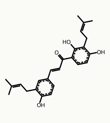 CC(C)=CCc1cc(C=CC(=O)c2ccc(O)c(CC=C(C)C)c2O)ccc1O